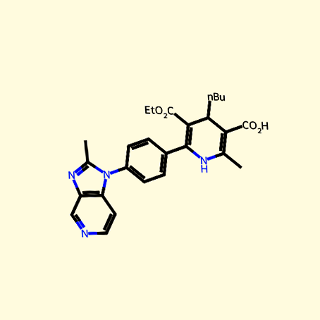 CCCCC1C(C(=O)O)=C(C)NC(c2ccc(-n3c(C)nc4cnccc43)cc2)=C1C(=O)OCC